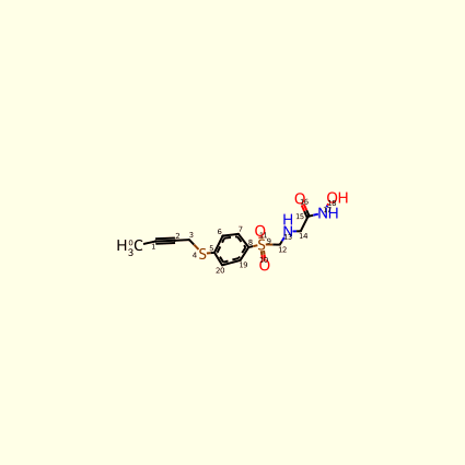 CC#CCSc1ccc(S(=O)(=O)CNCC(=O)NO)cc1